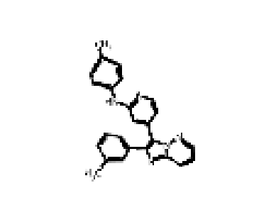 Cc1ccc(Nc2cc(-c3c(-c4cccc(C)c4)nc4cccnn34)ccn2)cc1